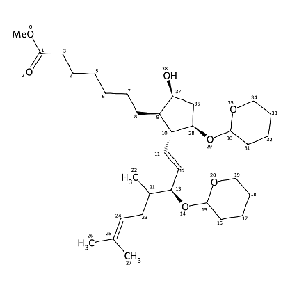 COC(=O)CCCCCC[C@@H]1[C@@H](C=C[C@@H](OC2CCCCO2)C(C)CC=C(C)C)[C@H](OC2CCCCO2)C[C@@H]1O